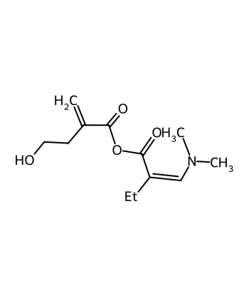 C=C(CCO)C(=O)OC(=O)C(=CN(C)C)CC